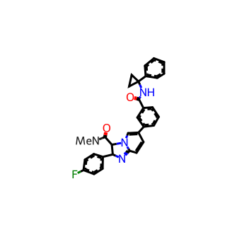 CNC(=O)C1C(c2ccc(F)cc2)N=C2C=CC(c3cccc(C(=O)NC4(c5ccccc5)CC4)c3)=CN21